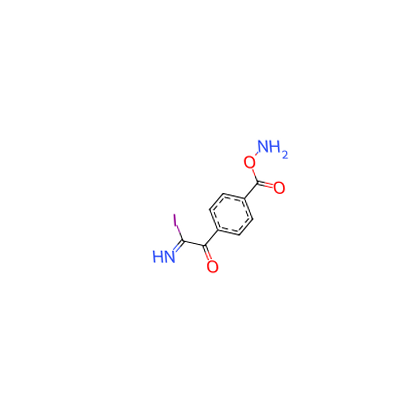 N=C(I)C(=O)c1ccc(C(=O)ON)cc1